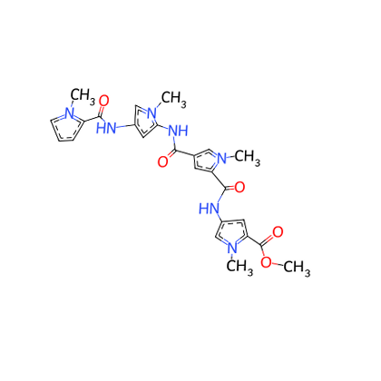 COC(=O)c1cc(NC(=O)c2cc(C(=O)Nc3cc(NC(=O)c4cccn4C)cn3C)cn2C)cn1C